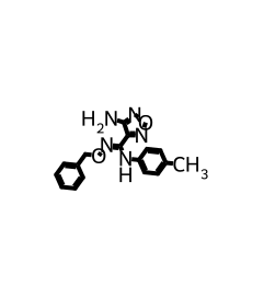 Cc1ccc(N/C(=N\OCc2ccccc2)c2nonc2N)cc1